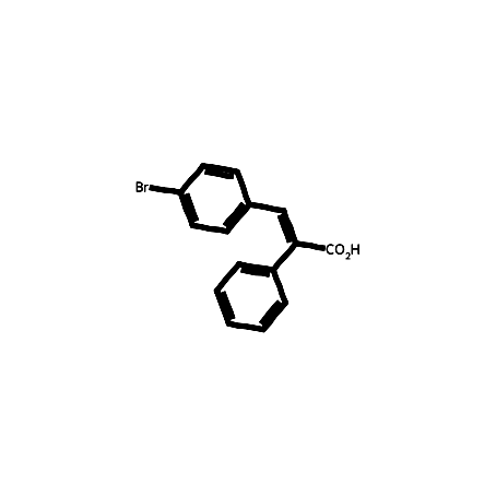 O=C(O)C(=Cc1ccc(Br)cc1)c1ccccc1